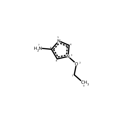 CCOn1cnc(N)c1